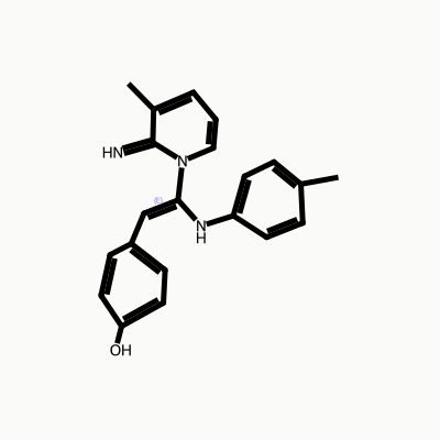 Cc1ccc(N/C(=C\c2ccc(O)cc2)n2cccc(C)c2=N)cc1